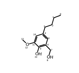 CCCCc1cc(CO)c(O)c(OC)c1